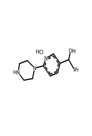 CC(C)C(O)c1ccc(N2CCNCC2)nc1.Cl